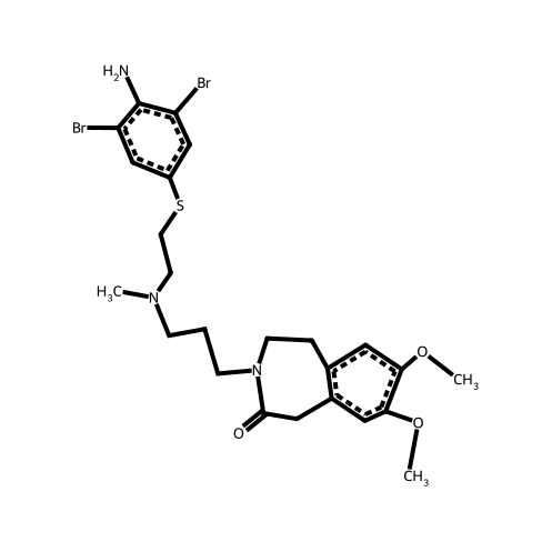 COc1cc2c(cc1OC)CC(=O)N(CCCN(C)CCSc1cc(Br)c(N)c(Br)c1)CC2